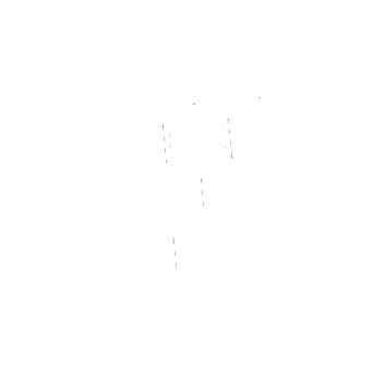 CCC(C)Oc1cccc(C=O)c1O